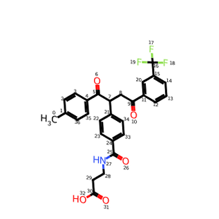 Cc1ccc(C(=O)C(CC(=O)c2cccc(C(F)(F)F)c2)c2ccc(C(=O)NCCC(=O)O)cc2)cc1